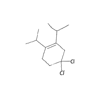 CC(C)C1=C(C(C)C)CC(Cl)(Cl)CC1